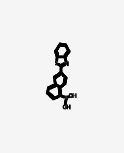 OB(O)c1cccc2cc(-c3nc4ccccc4s3)ccc12